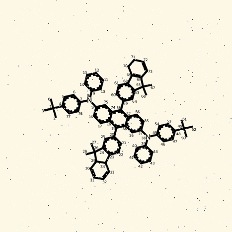 CC(C)(C)c1ccc(N(c2ccccc2)c2ccc3c(-c4ccc5c(c4)C(C)(C)C4C=CC=CC54)c4cc(N(c5ccccc5)c5ccc(C(C)(C)C)cc5)ccc4c(-c4ccc5c(c4)C(C)(C)C4=C5CCC=C4)c3c2)cc1